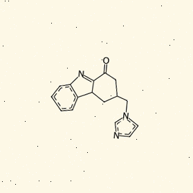 O=C1CC(Cn2ccnc2)CC2C1=Nc1ccccc12